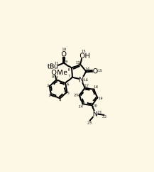 COc1ccccc1C1C(C(=O)C(C)(C)C)=C(O)C(=O)N1c1ccc(N(C)C)cc1